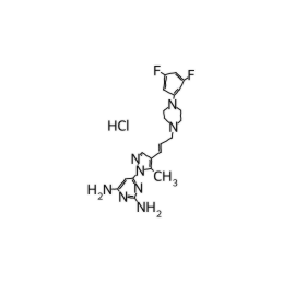 Cc1c(/C=C/CN2CCN(c3cc(F)cc(F)c3)CC2)cnn1-c1cc(N)nc(N)n1.Cl